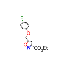 CCOC(=O)c1cc(COc2ccc(F)cc2)on1